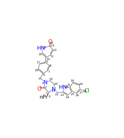 CCC[C@H]1C(=O)N(Cc2ccc(-c3ccc(=O)[nH]c3)cc2)CCN1Cc1cc2cc(Cl)ccc2[nH]1